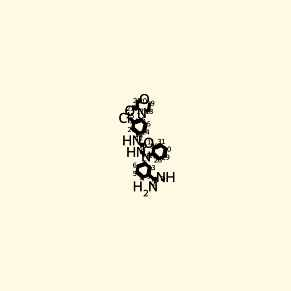 N=C(N)c1cccc(N(NC(=O)Nc2ccc(N3CCOCC3=O)c(Cl)c2)c2ccccc2)c1